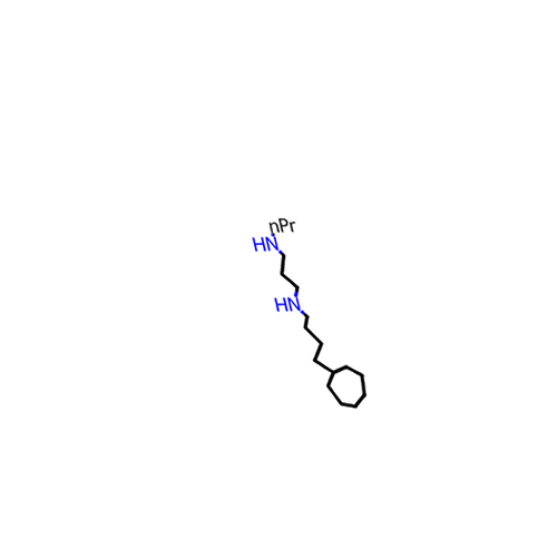 CCCNCCCNCCCCC1CCCCCC1